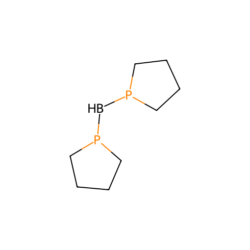 B(P1CCCC1)P1CCCC1